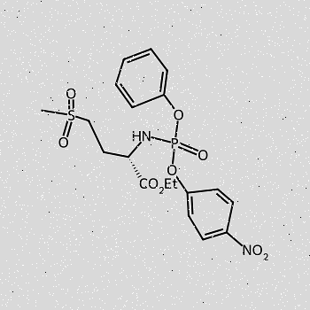 CCOC(=O)[C@H](CCS(C)(=O)=O)NP(=O)(Oc1ccccc1)Oc1ccc([N+](=O)[O-])cc1